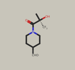 C[C@@](O)(C(=O)N1CCC([C]=O)CC1)C(F)(F)F